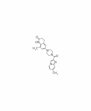 Cc1ccn2cc(C(=O)N3CCN(c4cc(C)c5c(c4)CCC(=O)N5)CC3)nc2c1